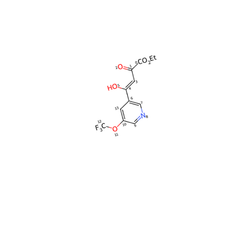 CCOC(=O)C(=O)/C=C(\O)c1cncc(OC(F)(F)F)c1